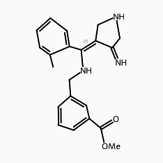 COC(=O)c1cccc(CN/C(=C2/CNCC2=N)c2ccccc2C)c1